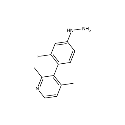 Cc1ccnc(C)c1-c1ccc(NN)cc1F